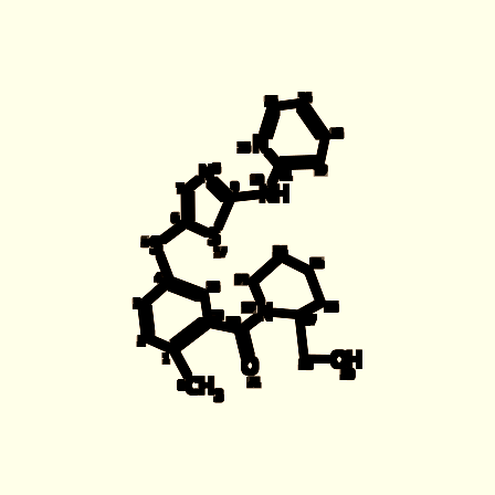 Cc1ccc(Sc2cnc(Nc3ccccn3)s2)cc1C(=O)N1CCCCC1CO